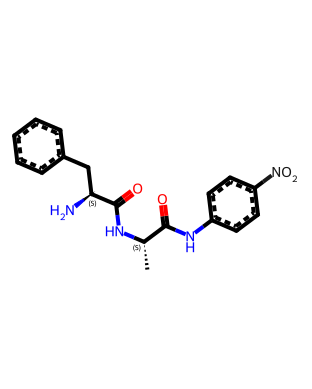 C[C@H](NC(=O)[C@@H](N)Cc1ccccc1)C(=O)Nc1ccc([N+](=O)[O-])cc1